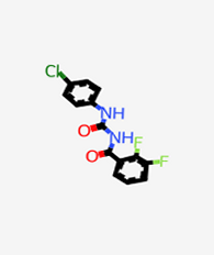 O=C(NC(=O)c1cccc(F)c1F)Nc1ccc(Cl)cc1